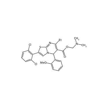 CCC1=C(C(=O)OCN(C)C)C(c2ccccc2OC)N2C=C(c3c(Cl)cccc3Cl)SC2=N1